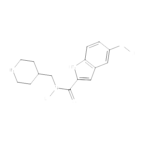 CCN(CC1CCNCC1)C(=O)c1cc2cc(OC(F)(F)F)ccc2[nH]1